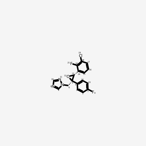 Fc1ccc([C@@]2(Cn3cncn3)O[C@@H]2c2cccc(Cl)c2F)cc1